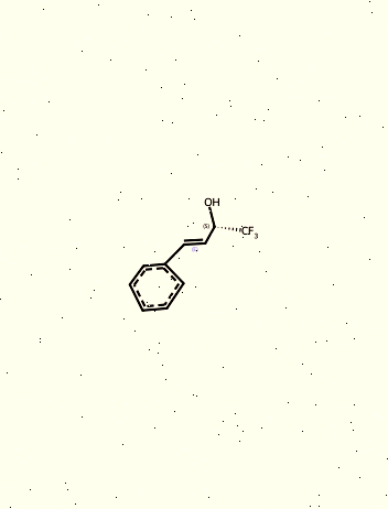 O[C@@H](/C=C/c1ccccc1)C(F)(F)F